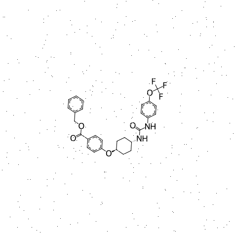 O=C(Nc1ccc(OC(F)(F)F)cc1)N[C@H]1CC[C@H](Oc2ccc(C(=O)OCc3ccccc3)cc2)CC1